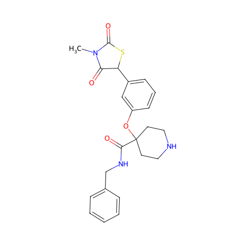 CN1C(=O)SC(c2cccc(OC3(C(=O)NCc4ccccc4)CCNCC3)c2)C1=O